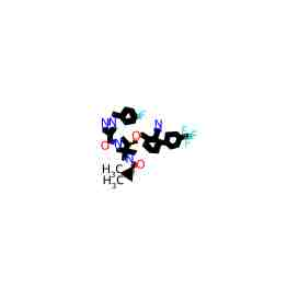 CC1(C)C[C@@H]1C(=O)N1CC2(CN(C(=O)c3cnn(Cc4ccc(F)cc4)c3)C[C@H]2COCc2cccc(C3CCC(C(F)(F)F)CC3)c2C#N)C1